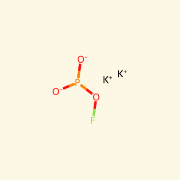 [K+].[K+].[O-]P([O-])OF